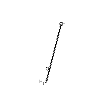 CCCCCCCCCCCCCCCCCCCCCCCCCCCCCCC(=O)CCCCCCCC